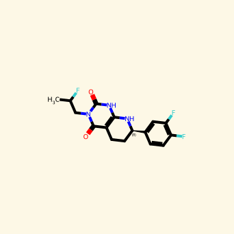 CC(F)Cn1c(=O)[nH]c2c(c1=O)CC[C@H](c1ccc(F)c(F)c1)N2